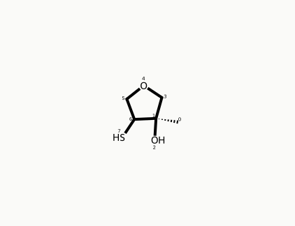 C[C@@]1(O)COCC1S